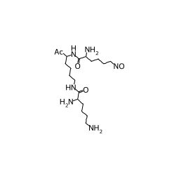 CC(=O)C(CCCCNC(=O)C(N)CCCCN)NC(=O)C(N)CCCCN=O